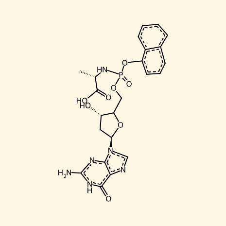 C[C@H](NP(=O)(OCC1O[C@@H](n2cnc3c(=O)[nH]c(N)nc32)C[C@@H]1O)Oc1cccc2ccccc12)C(=O)O